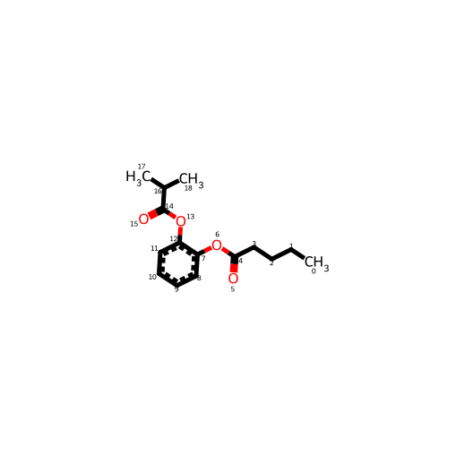 CCCCC(=O)Oc1ccccc1OC(=O)C(C)C